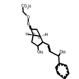 O=C(O)CON=C1C[C@H]2C(C=CC(O)c3ccc(Cl)cc3)C(O)C[C@H]12